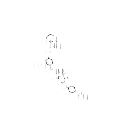 COc1ccc(OC(=O)N[C@@H](CNC(=O)c2ccc(OCCNc3ncccn3)cc2O)C(=O)O)cc1